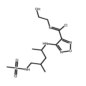 CC(CNS(C)(=O)=O)CC(C)Nc1nonc1/C(Cl)=N/CCO